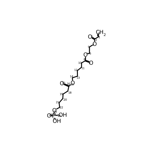 C=CC(=O)OCCOC(=O)CCCCCOC(=O)CCCCCOP(=O)(O)O